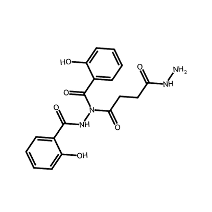 NNC(=O)CCC(=O)N(NC(=O)c1ccccc1O)C(=O)c1ccccc1O